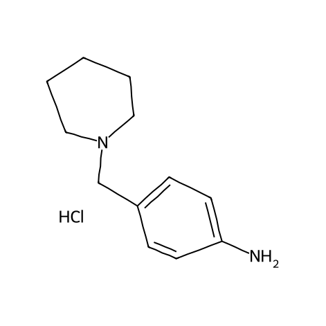 Cl.Nc1ccc(CN2CCCCC2)cc1